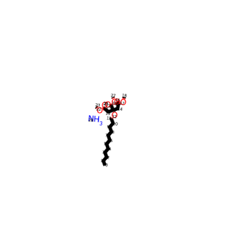 CCCCCCCCCCCCOC(CC(=O)OC)(CC(=O)OC)C(=O)OC.N